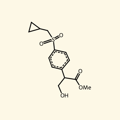 COC(=O)C(CO)c1ccc(S(=O)(=O)CC2CC2)cc1